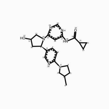 CC1CCN(c2ccc([C@H]3CC(O)CN3c3cc(NC(=O)C4CC4)ncn3)cn2)C1